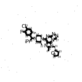 Cc1nc2c(N3C[C@@H](C)N(C(c4ccc(Cl)c(F)c4)C(C)C)C[C@@H]3C)nc3nncn3c2n1C[C@@H]1CCCO1